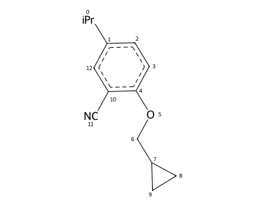 CC(C)c1ccc(OCC2CC2)c(C#N)c1